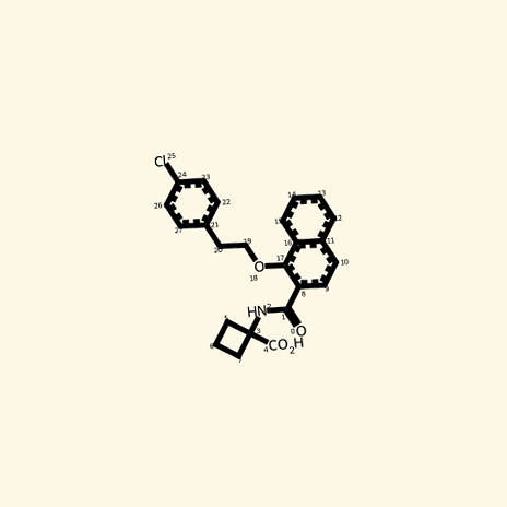 O=C(NC1(C(=O)O)CCC1)c1ccc2ccccc2c1OCCc1ccc(Cl)cc1